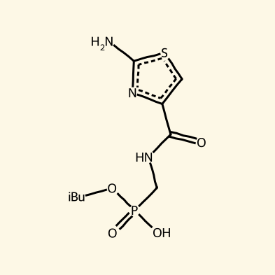 CCC(C)OP(=O)(O)CNC(=O)c1csc(N)n1